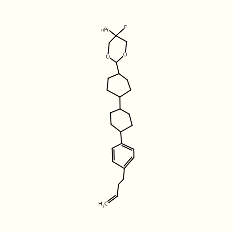 C=CCCc1ccc(C2CCC(C3CCC(C4OCC(F)(CCC)CO4)CC3)CC2)cc1